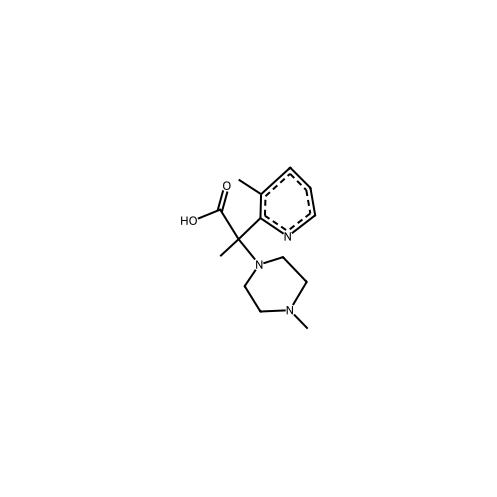 Cc1cccnc1C(C)(C(=O)O)N1CCN(C)CC1